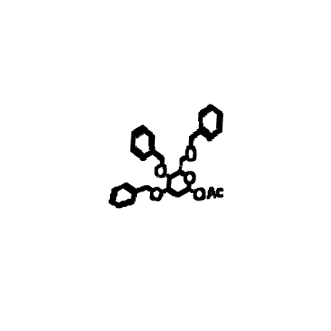 CC(=O)O[C@@H]1C[C@@H](OCc2ccccc2)[C@H](OCc2ccccc2)[C@@H](COCc2ccccc2)O1